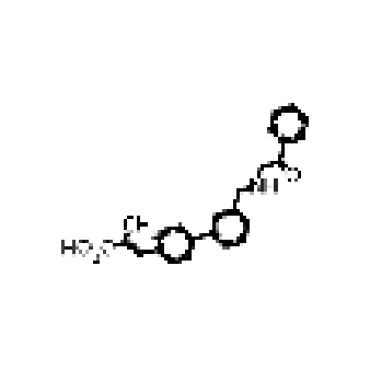 CC(=Cc1ccc(-c2cccc(CNCC(=O)c3ccccc3)c2)cc1)C(=O)O